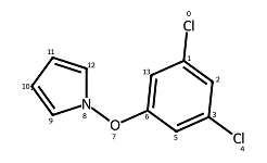 Clc1cc(Cl)cc(On2c[c]cc2)c1